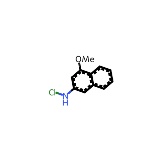 COc1cc(NCl)cc2ccccc12